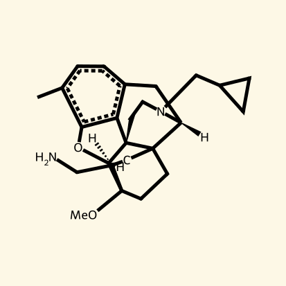 COC12CCC3(C[C@@H]1CN)[C@H]1Cc4ccc(C)c5c4[C@@]3(CCN1CC1CC1)[C@H]2O5